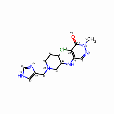 Cn1ncc(NC2CCCN(Cc3c[nH]cn3)C2)c(Cl)c1=O